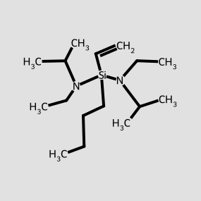 C=C[Si](CCCC)(N(CC)C(C)C)N(CC)C(C)C